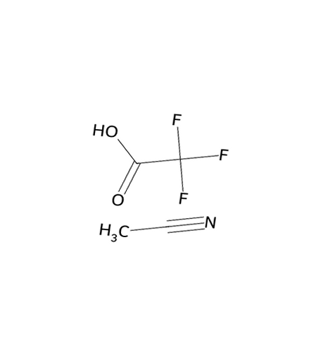 CC#N.O=C(O)C(F)(F)F